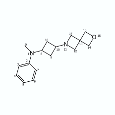 CN(c1ccccc1)C1CC(N2CC3(COC3)C2)C1